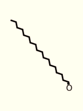 CCCCCCCCCCCCCCCCCC=O